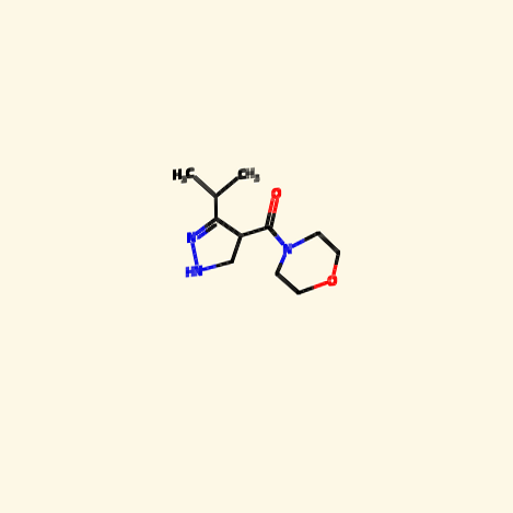 CC(C)C1=NNCC1C(=O)N1CCOCC1